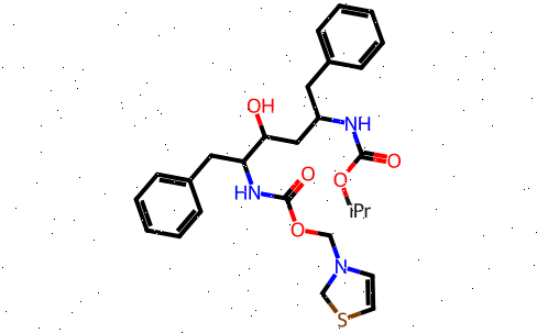 CC(C)OC(=O)NC(Cc1ccccc1)CC(O)C(Cc1ccccc1)NC(=O)OCN1C=CSC1